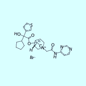 O=C(C[N+]12CCC(CC1)[C@@H](OC(=O)C(O)(c1ccsc1)C1CCCC1)C2)Nc1ccncn1.[Br-]